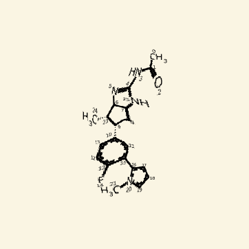 CC(=O)NC1=NC2C(C[C@H](c3ccc(F)c(-c4cccn4C)c3)[C@@H]2C)N1